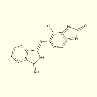 N=C1NC(=Nc2ccc3c(c2Cl)=NC(=O)N=3)c2ccccc21